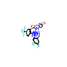 COc1ccc(NC(=O)c2cc(C(F)(F)F)ccc2Nc2cc(F)c(F)cc2C)c(C)n1